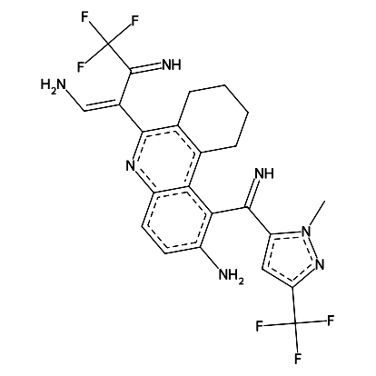 Cn1nc(C(F)(F)F)cc1C(=N)c1c(N)ccc2nc(/C(=C/N)C(=N)C(F)(F)F)c3c(c12)CCCC3